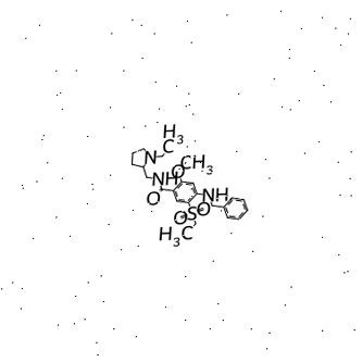 CCN1CCCC1CNC(=O)c1cc(S(=O)(=O)CC)c(NCc2ccccc2)cc1OC